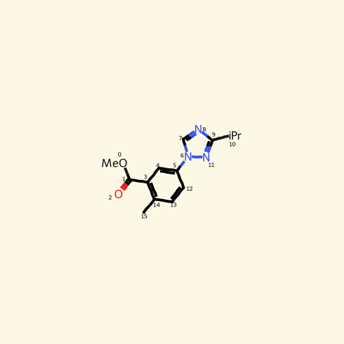 COC(=O)c1cc(-n2cnc(C(C)C)n2)ccc1C